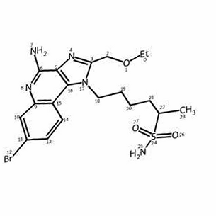 CCOCc1nc2c(N)nc3cc(Br)ccc3c2n1CCCCC(C)S(N)(=O)=O